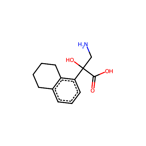 NCC(O)(C(=O)O)c1cccc2c1CCCC2